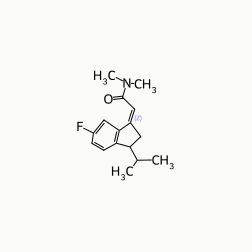 CC(C)C1C/C(=C/C(=O)N(C)C)c2cc(F)ccc21